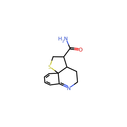 NC(=O)C1CSC23C=CC=CC2=NCCC13